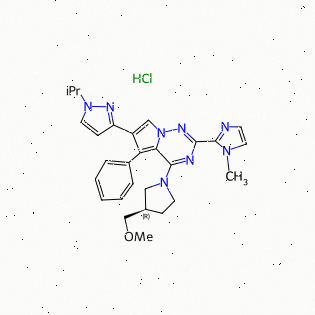 COC[C@@H]1CCN(c2nc(-c3nccn3C)nn3cc(-c4ccn(C(C)C)n4)c(-c4ccccc4)c23)C1.Cl